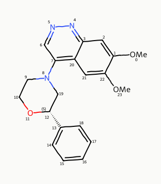 COc1cc2nncc(N3CCO[C@@H](c4ccccc4)C3)c2cc1OC